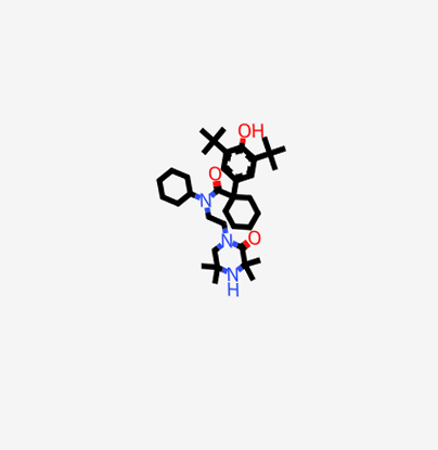 CC1(C)CN(CCN(C(=O)C2(c3cc(C(C)(C)C)c(O)c(C(C)(C)C)c3)CCCCC2)C2CCCCC2)C(=O)C(C)(C)N1